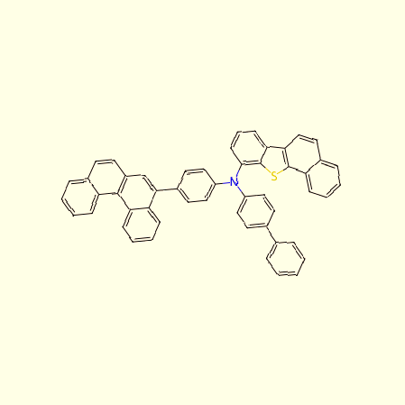 c1ccc(-c2ccc(N(c3ccc(-c4cc5ccc6ccccc6c5c5ccccc45)cc3)c3cccc4c3sc3c5ccccc5ccc43)cc2)cc1